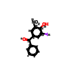 O=C(c1ccccc1)c1cc(I)c(O)c([N+](=O)[O-])c1